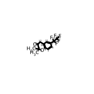 CC1(C)Oc2ccc(C(F)(F)C(F)(F)F)cc2CC1=O